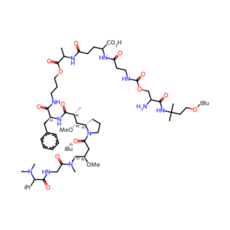 CC[C@H](C)[C@@H]([C@@H](CC(=O)N1CCC[C@H]1[C@H](OC)[C@@H](C)C(=O)N[C@@H](Cc1ccccc1)C(=O)NCCCOC(=O)C(C)NC(=O)CCC(NC(=O)CCNC(=O)OCC(N)C(=O)NC(C)(C)CCOC(C)(C)C)C(=O)O)OC)N(C)C(=O)CNC(=O)C(C(C)C)N(C)C